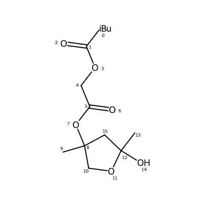 CCC(C)C(=O)OCC(=O)OC1(C)COC(C)(O)C1